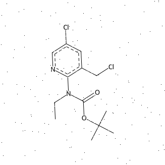 CCN(C(=O)OC(C)(C)C)c1ncc(Cl)cc1CCl